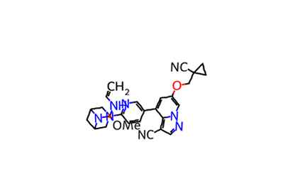 C=CNC(OC)N1C2CC1CN(c1ccc(-c3cc(OCC4(C#N)CC4)cn4ncc(C#N)c34)cn1)C2